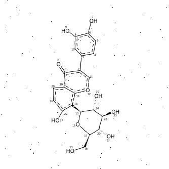 O=c1c(-c2ccc(O)c(O)c2)coc2c([C@@H]3O[C@H](CO)[C@@H](O)[C@H](O)[C@H]3O)c(O)ccc12